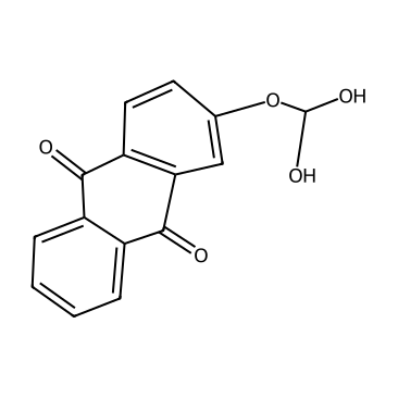 O=C1c2ccccc2C(=O)c2cc(OC(O)O)ccc21